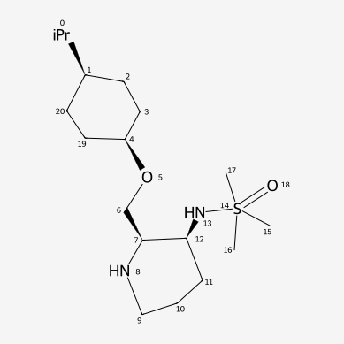 CC(C)[C@H]1CC[C@@H](OC[C@@H]2NCCC[C@@H]2NS(C)(C)(C)=O)CC1